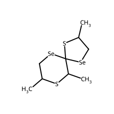 CC1C[Se]C2(SC(C)C[Se]2)C(C)S1